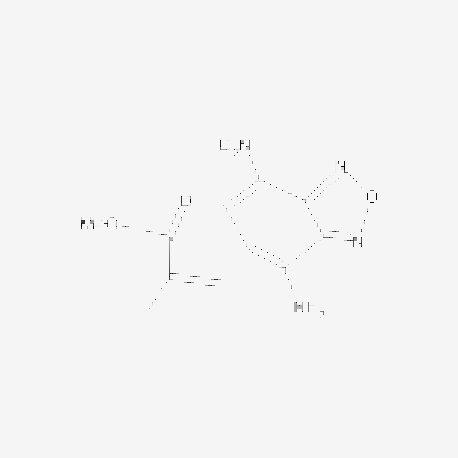 C=C(C)C(=O)OC.Nc1ccc([N+](=O)[O-])c2nonc12